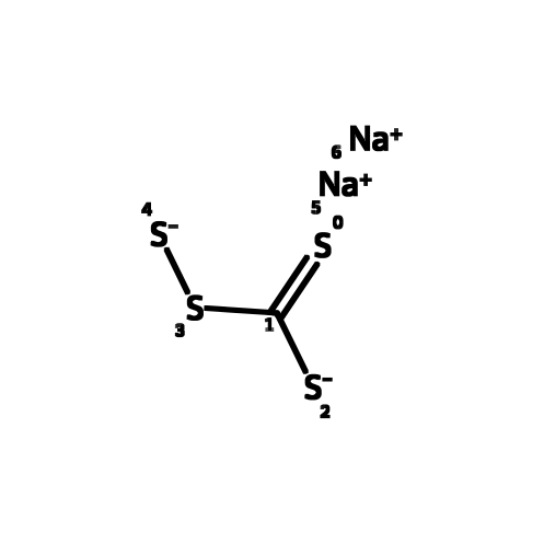 S=C([S-])S[S-].[Na+].[Na+]